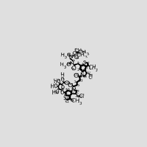 Cc1csc2c(CC(=O)N(C)CCN(C)C(=O)OC(C)(C)C)cc3c(c12)[C@H](CCl)CN3C(=O)CCCC(=O)N1C[C@@H](CCl)c2c1cc(O[C@@H]1O[C@H](C(=O)O)[C@@H](O)[C@H](O)[C@H]1O)c1scc(C)c21